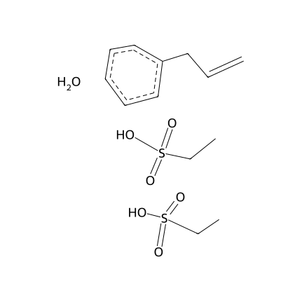 C=CCc1ccccc1.CCS(=O)(=O)O.CCS(=O)(=O)O.O